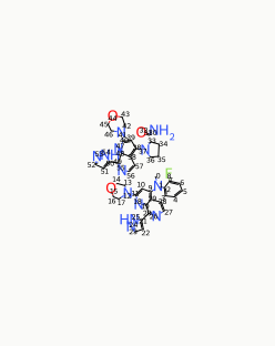 CN(c1ccccc1F)c1cc(N2CCOCC2)nc2c(-c3ccn[nH]3)nccc12.NC(=O)[C@@H]1CCCN1c1cc(N2CCOCC2)nc2c(-c3ccn[nH]3)nccc12